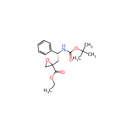 CCOC(=O)C1(C[C@@H](NC(=O)OC(C)(C)C)c2ccccc2)CO1